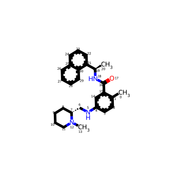 Cc1ccc(NC[C@H]2CCCCN2C)cc1C(=O)N[C@H](C)c1cccc2ccccc12